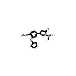 COc1ccc(C2CC(=O)N(B(C)O)C2)cc1OC1CCCC1